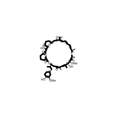 CO[C@H]1C[C@@H]2CC[C@@H](C)[C@@](O)(O2)C(O)C(=O)N2CCCC[C@H]2C(=O)O[C@H](C(C)C[C@@H]2CC[C@@H](O)[C@H](OC)C2)CC(=O)[C@H](C)/C=C(\C)[C@@H](O)[C@@H](OC)C(=O)[C@H](C)C[C@H](C)/C=C/C=C/C=C/1C